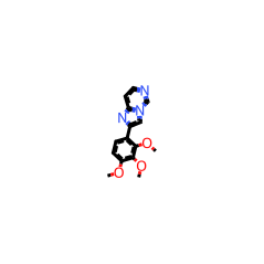 COc1ccc(-c2cn3cnccc3n2)c(OC)c1OC